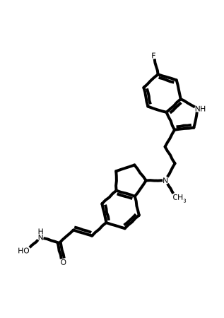 CN(CCc1c[nH]c2cc(F)ccc12)C1CCc2cc(C=CC(=O)NO)ccc21